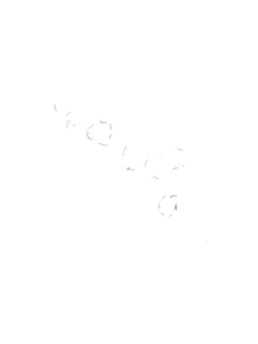 C=CC(=O)Nc1ccc(OC)c(CC2=C/CCC3=C(C=C(c4c(Cl)c(OC)cc(OC)c4Cl)C4=NC=CN3C4)/C=N\2)c1